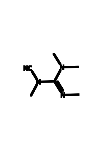 CN=C(N(C)C)N(C)C#N